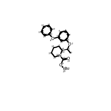 CC(Oc1cccc(Oc2ccccc2)c1)[C@@H]1CCCCN1C(=O)OC(C)(C)C